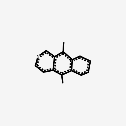 Cc1c2ccccc2c(C)c2cnccc12